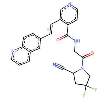 N#CC1CC(F)(F)CN1C(=O)CNC(=O)c1ccncc1/C=C/c1ccc2ncccc2c1